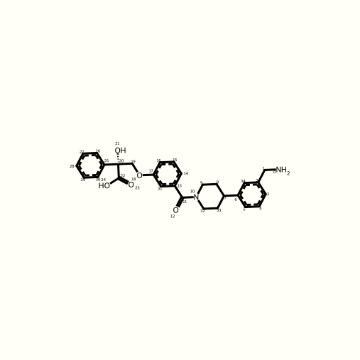 NCc1cccc(C2CCN(C(=O)c3cccc(OC[C@@](O)(C(=O)O)c4ccccc4)c3)CC2)c1